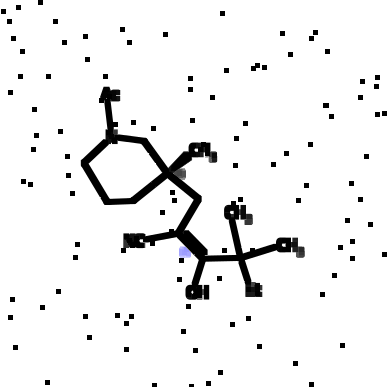 CCC(C)(C)/C(O)=C(/C#N)C[C@]1(C)CCCN(C(C)=O)C1